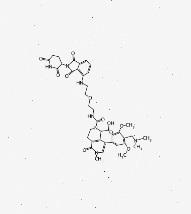 COc1cc(-c2cn(C)c(=O)c3c2C(C(=O)O)N(C(=O)NCCOCCNc2cccc4c2C(=O)N(C2CCC(=O)NC2=O)C4=O)CC3)cc(OC)c1CN(C)C